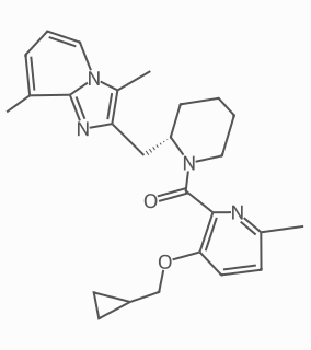 Cc1ccc(OCC2CC2)c(C(=O)N2CCCC[C@H]2Cc2nc3c(C)cccn3c2C)n1